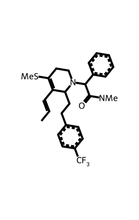 C/C=C/C1=C(SC)CCN(C(C(=O)NC)c2ccccc2)C1CCc1ccc(C(F)(F)F)cc1